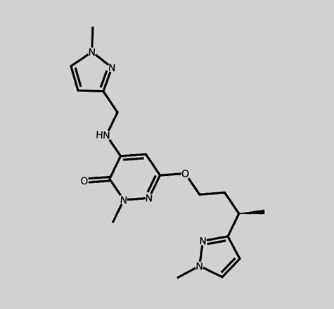 C[C@H](CCOc1cc(NCc2ccn(C)n2)c(=O)n(C)n1)c1ccn(C)n1